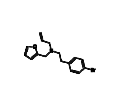 C=CCN(CCc1ccc(Br)cc1)Cc1ccco1